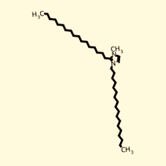 CCCCCCCCCCCCCCCCCC[n+]1ccn(C)c1CCCCCCCCCCCCCCCCC